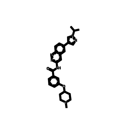 CC(C)n1cc(-c2ccc3nnc(NC(=O)c4cccc(OC5CCN(C)CC5)c4)cc3c2)cn1